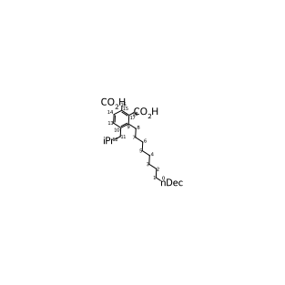 CCCCCCCCCCCCCCCCCCc1c(CC(C)C)ccc(C(=O)O)c1C(=O)O